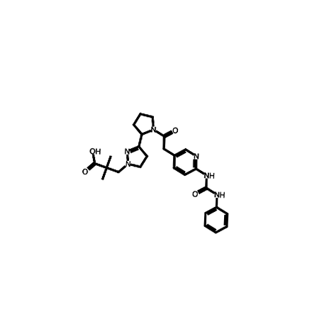 CC(C)(CN1CCC(C2CCCN2C(=O)Cc2ccc(NC(=O)Nc3ccccc3)nc2)=N1)C(=O)O